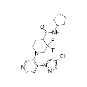 O=C(NC1CCCC1)C1CCN(c2cnccc2-n2cc(Cl)cn2)CC1(F)F